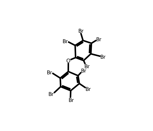 Brc1c(Br)c(Br)c(Oc2c(Br)c(Br)c(Br)c(Br)c2Br)c(Br)c1Br